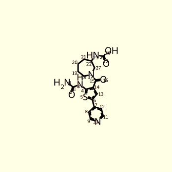 NC(=O)Nc1sc(-c2ccncc2)cc1C(=O)N1CCCCC(NC(=O)O)C1